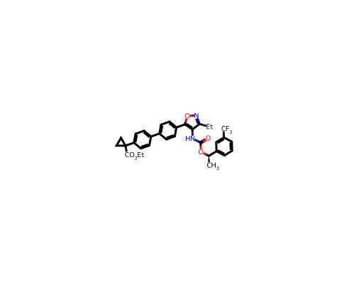 CCOC(=O)C1(c2ccc(-c3ccc(-c4onc(CC)c4NC(=O)O[C@H](C)c4cccc(C(F)(F)F)c4)cc3)cc2)CC1